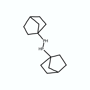 C1CC2(PPC34CCC(CC3)C4)CCC1C2